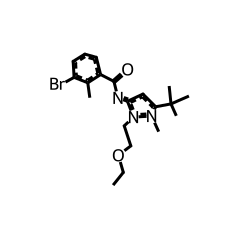 CCOCCn1/c(=N/C(=O)c2cccc(Br)c2C)cc(C(C)(C)C)n1C